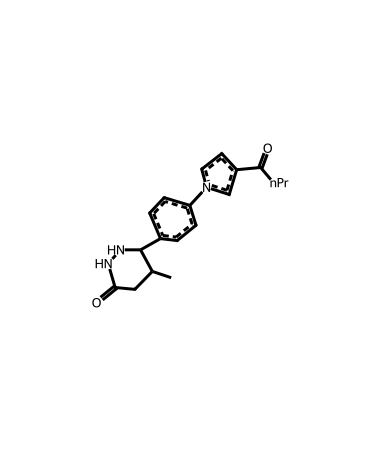 CCCC(=O)c1ccn(-c2ccc(C3NNC(=O)CC3C)cc2)c1